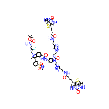 Cc1c(-c2cccc(S(=O)(=O)N(C)C)c2)c2cc(C(=O)Nc3ccc4c(c3)n(CCn3cc(CCNC(=O)CCCC[C@@H]5SC[C@@H]6NC(=O)N[C@@H]65)nn3)c(=O)n4CCn3cc(CCNC(=O)CCCC[C@@H]4SC[C@@H]5NC(=O)N[C@@H]54)nn3)ccc2n1C/C(F)=C/CNC(=O)OC(C)(C)C